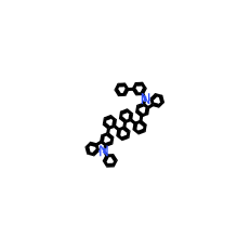 c1ccc(-c2cccc(-n3c4ccccc4c4cc(-c5ccccc5-c5ccccc5-c5ccccc5-c5ccccc5-c5ccc6c(c5)c5ccccc5n6-c5ccccc5)ccc43)c2)cc1